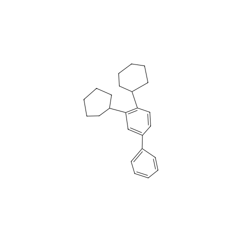 c1ccc(-c2ccc(C3CCCCC3)c(C3CCCCC3)c2)cc1